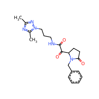 Cc1nc(C)n(CCCNC(=O)C(=O)C2CCC(=O)N2Cc2ccccc2)n1